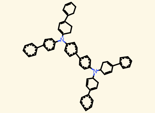 C1=CCCC(C2=CC=C(N(c3ccc(-c4ccccc4)cc3)c3ccc(-c4ccc(N(C5C=CC(c6ccccc6)=CC5)C5C=CC(c6ccccc6)=CC5)cc4)cc3)CC2)=C1